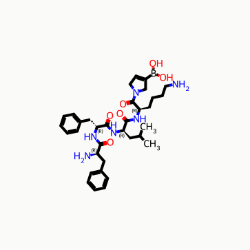 CC(C)C[C@@H](NC(=O)[C@@H](Cc1ccccc1)NC(=O)[C@H](N)Cc1ccccc1)C(=O)N[C@H](CCCCN)C(=O)N1CC=C(B(O)O)C1